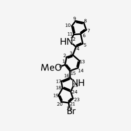 COc1cc(-c2cc3ccccc3[nH]2)ccc1-c1cc2ccc(Br)cc2[nH]1